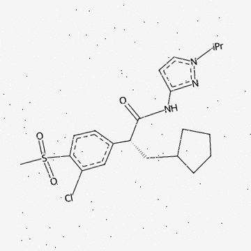 CC(C)n1ccc(NC(=O)[C@H](CC2CCCC2)c2ccc(S(C)(=O)=O)c(Cl)c2)n1